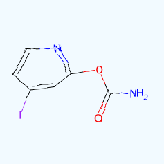 NC(=O)Oc1cc(I)ccn1